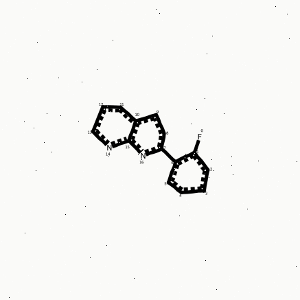 Fc1ccccc1-c1ccc2cccnc2n1